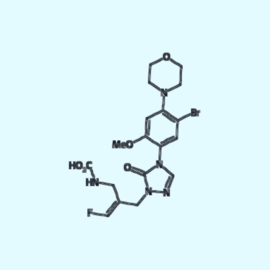 COc1cc(N2CCOCC2)c(Br)cc1-n1cnn(CC(=CF)CNC(=O)O)c1=O